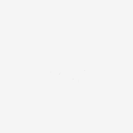 C[C@H]1[C@@H](O)[C@@H](CO)O[C@@H]1CC(=O)O